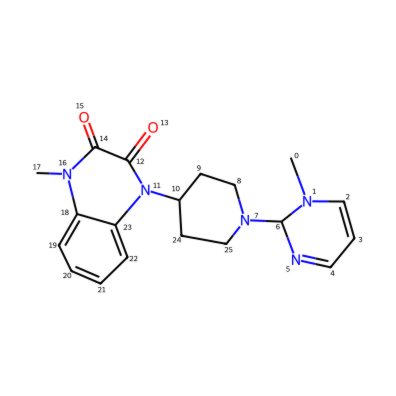 CN1C=CC=NC1N1CCC(n2c(=O)c(=O)n(C)c3ccccc32)CC1